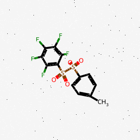 Cc1ccc(S(=O)(=O)S(=O)(=O)c2c(F)c(F)c(F)c(F)c2F)cc1